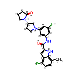 Cc1ccc(F)c2cc(C(=O)Nc3cc(F)cc(N4CC[C@H](N5CCCC5=O)C4)c3)[nH]c12